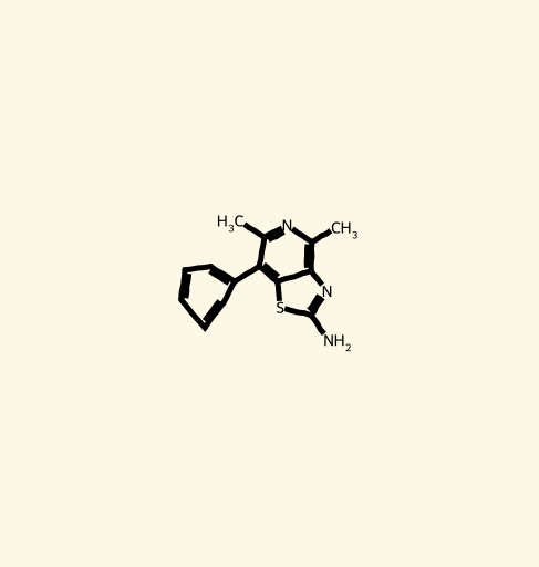 Cc1nc(C)c2nc(N)sc2c1-c1ccccc1